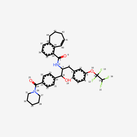 O=C(NC(Cc1cccc(OC(F)(F)C(F)F)c1)C(O)c1ccc(C(=O)N2CCCCC2)cc1)c1cccc2c1C=CCCC2